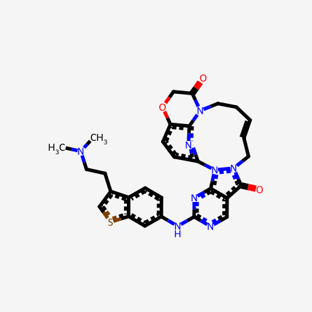 CN(C)CCc1csc2cc(Nc3ncc4c(=O)n5n(c4n3)-c3ccc4c(n3)N(CC/C=C/C5)C(=O)CO4)ccc12